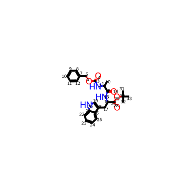 CC(NC(=O)OCc1ccccc1)C(=O)NC(Cc1c[nH]c2ccccc12)C(=O)OC(C)(C)C